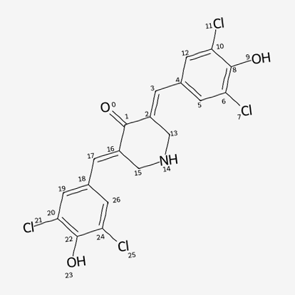 O=C1/C(=C/c2cc(Cl)c(O)c(Cl)c2)CNC/C1=C\c1cc(Cl)c(O)c(Cl)c1